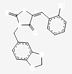 O=C1/C(=C\c2ccccc2O)SC(=S)N1Cc1ccc2c(c1)OCO2